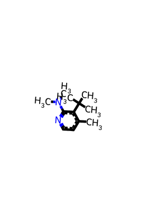 Cc1ccnc(N(C)C)c1C(C)(C)C